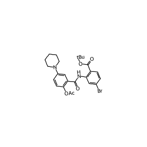 CC(=O)Oc1ccc(N2CCCCC2)cc1C(=O)Nc1cc(Br)ccc1C(=O)OC(C)(C)C